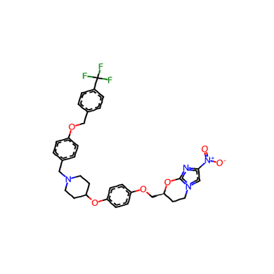 O=[N+]([O-])c1cn2c(n1)O[C@H](COc1ccc(OC3CCN(Cc4ccc(OCc5ccc(C(F)(F)F)cc5)cc4)CC3)cc1)CC2